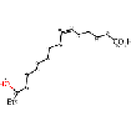 CCC(O)CCCCCCC/C=C\CCCCC(=O)O